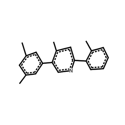 Cc1cc(C)cc(-c2cnc(-c3ccccc3C)cc2C)c1